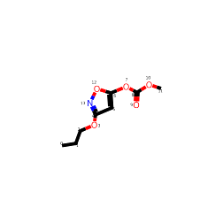 CCCOc1cc(OC(=O)OC)on1